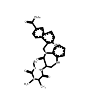 COC(=O)c1ccc2c(CN3C(=O)C(NC(=O)C(C)N(C)C(=O)OC(C)(C)C)CNc4ccccc43)c(OC)ccc2c1